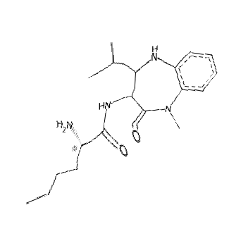 CCCC[C@H](N)C(=O)NC1C(=O)N(C)c2ccccc2NC1C(C)C